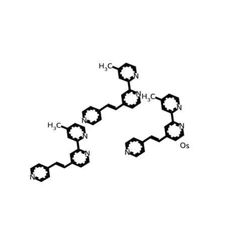 Cc1ccnc(-c2cc(C=Cc3ccncc3)ccn2)c1.Cc1ccnc(-c2cc(C=Cc3ccncc3)ccn2)c1.Cc1ccnc(-c2cc(C=Cc3ccncc3)ccn2)c1.[Os]